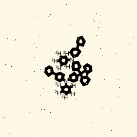 [2H]c1c([2H])c([2H])c(N(c2ccc(-c3ccccc3)cc2)c2ccc(C3(c4ccc(N(c5ccc(-c6ccccc6)cc5)c5c([2H])c([2H])c([2H])c([2H])c5[2H])cc4)c4ccccc4-c4ccccc43)cc2)c([2H])c1[2H]